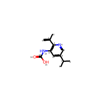 C=C(C)c1ncc(C(C)C)cc1NC(=O)O